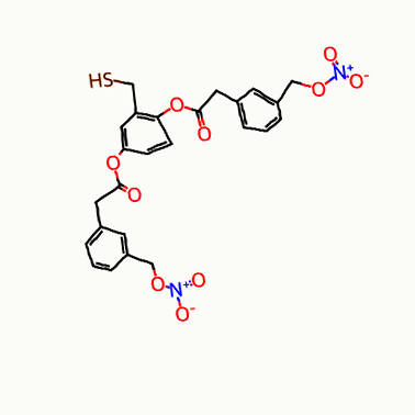 O=C(Cc1cccc(CO[N+](=O)[O-])c1)Oc1ccc(OC(=O)Cc2cccc(CO[N+](=O)[O-])c2)c(CS)c1